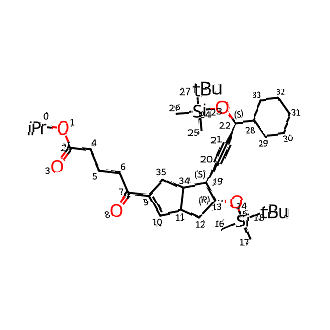 CC(C)OC(=O)CCCC(=O)C1=CC2C[C@@H](O[Si](C)(C)C(C)(C)C)[C@H](C#C[C@@H](O[Si](C)(C)C(C)(C)C)C3CCCCC3)C2C1